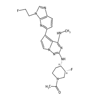 CNc1nc(N[C@H]2CCN(C(C)=O)C[C@H]2F)nn2ccc(-c3ccc4ncn(CCF)c4n3)c12